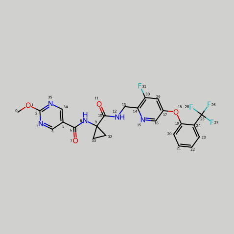 COc1ncc(C(=O)NC2(C(=O)NCc3ncc(Oc4ccccc4C(F)(F)F)cc3F)CC2)cn1